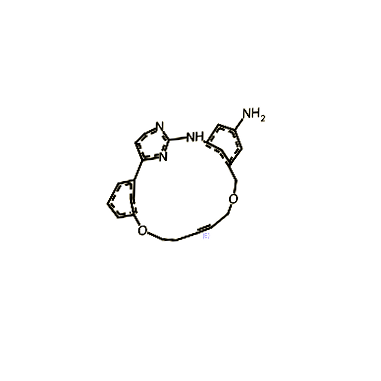 Nc1cc2cc(c1)Nc1nccc(n1)-c1cccc(c1)OCC/C=C/COC2